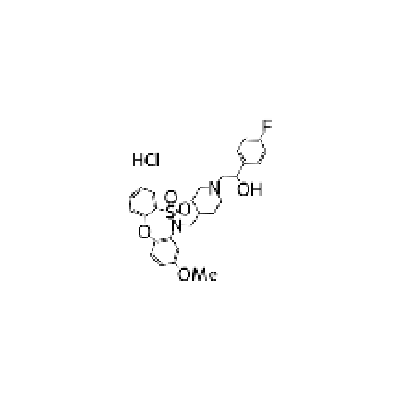 COc1ccc2c(c1)N(CC1CCN(C[C@H](O)c3ccc(F)cc3)CC1)S(=O)(=O)c1ccccc1O2.Cl